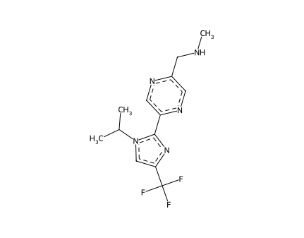 CNCc1cnc(-c2nc(C(F)(F)F)cn2C(C)C)cn1